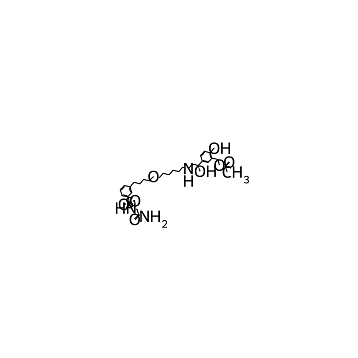 CC(=O)OCc1cc([C@@H](O)CNCCCCCCOCCCCc2cccc(S(=O)(=O)NCC(N)=O)c2)ccc1O